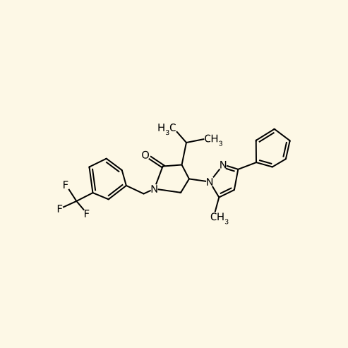 Cc1cc(-c2ccccc2)nn1C1CN(Cc2cccc(C(F)(F)F)c2)C(=O)C1C(C)C